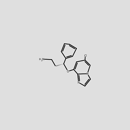 NCC[C@@H](Oc1cc(Cl)cn2ccnc12)c1ccccc1